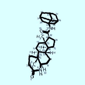 C[C@]12CCC(=O)N[C@@H]1CC[C@@H]1[C@@H]2CC[C@]2(C)[C@@H](C(=O)NC34CC5CC(CC(C5)C3)C4)CC[C@@H]12